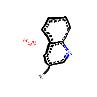 N#Cc1cnc2ccccc2c1.O